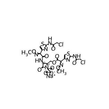 CON=C(C(=O)N[C@@H]1C(=O)N(S(=O)(=O)[O-])[C@@H]1COC(=O)C(=NOC)c1csc(NC(=O)CCl)n1)c1csc(NC(=O)CCl)n1.[Na+]